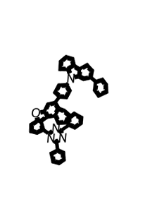 c1ccc(-c2ccc3c4ccccc4n(-c4ccc(-c5cc6oc7cccc(-c8nc(-c9ccccc9)nc(-c9ccccc9)n8)c7c6c6ccccc56)cc4)c3c2)cc1